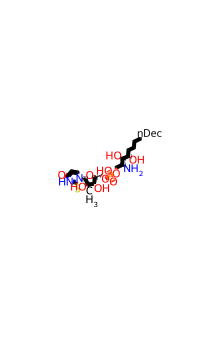 CCCCCCCCCCCCCC[C@@H](O)[C@@H](O)[C@@H](N)COP(=O)(O)OC[C@H]1O[C@@H](n2ccc(=O)[nH]c2=S)[C@](C)(O)C1O